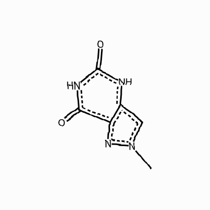 Cn1cc2[nH]c(=O)[nH]c(=O)c2n1